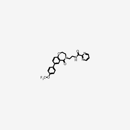 O=C(NCCN1CCOc2ccc(-c3ccc(OC(F)(F)F)cc3)cc2C1=O)c1ncccn1